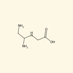 NCC(N)NCC(=O)O